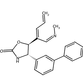 C=C/C=C(\C=N/C)[C@@H]1OC(=O)N[C@H]1c1cccc(-c2ccccc2)c1